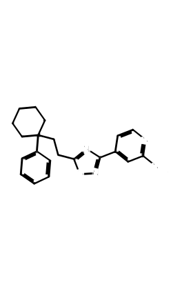 Nc1cc(-c2noc(CCC3(c4ccccc4)CCCCC3)n2)ccn1